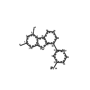 Cc1cc(C)c2c(n1)oc1c(-c3cc(C(C)C)ccn3)cccc12